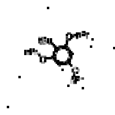 CCCOc1cc(OCCC)c(C(C)(C)C)c(OCCC)c1